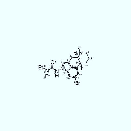 CCN(CC)C(=O)Nn1cc2c3c(cc(Br)cc31)[C@H]1CCCN(C)[C@@H]1C2